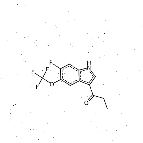 CCC(=O)c1c[nH]c2cc(F)c(OC(F)(F)F)cc12